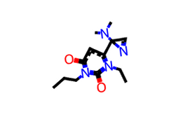 CCCn1c(=O)cc(C2(N(C)C)C=N2)n(CC)c1=O